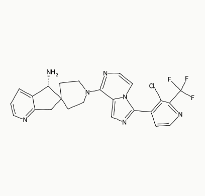 N[C@H]1c2cccnc2CC12CCN(c1nccn3c(-c4ccnc(C(F)(F)F)c4Cl)ncc13)CC2